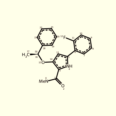 CNC(=O)c1[nH]c(-c2ccccc2F)cc1O[C@@H](C)c1ccccc1